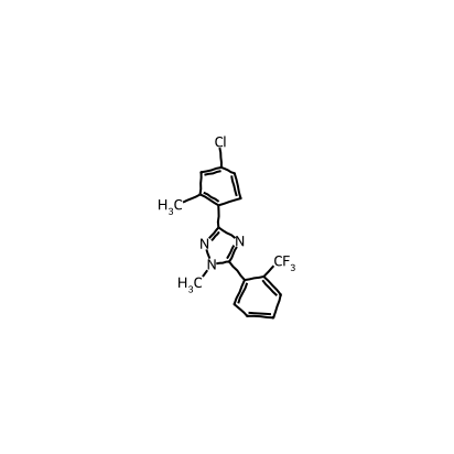 Cc1cc(Cl)ccc1-c1nc(-c2ccccc2C(F)(F)F)n(C)n1